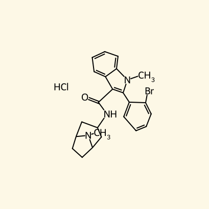 CN1C2CCC1CC(NC(=O)c1c(-c3ccccc3Br)n(C)c3ccccc13)C2.Cl